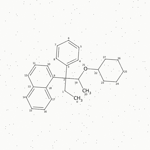 CCC(c1ccccc1)(c1cccc2ccccc12)C(C)OC1CCCCC1